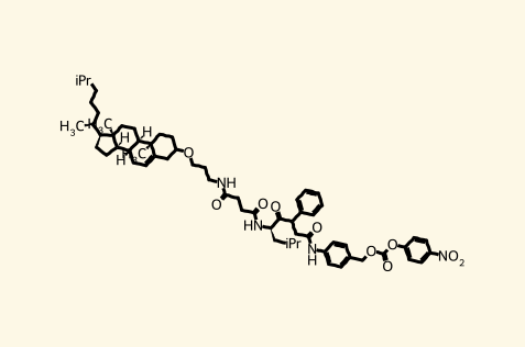 CC(C)CCC[C@H](C)[C@@H]1CC[C@@H]2[C@H]3CC=C4CC(OCCCNC(=O)CCC(=O)N[C@H](CC(C)C)C(=O)C(CC(=O)Nc5ccc(COC(=O)Oc6ccc([N+](=O)[O-])cc6)cc5)c5ccccc5)CC[C@@]4(C)[C@@H]3CC[C@]21C